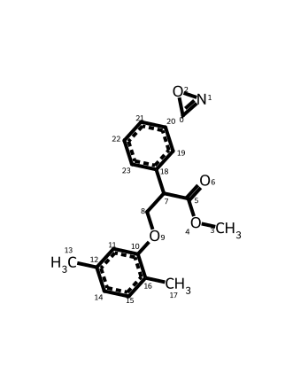 C1=NO1.COC(=O)C(COc1cc(C)ccc1C)c1ccccc1